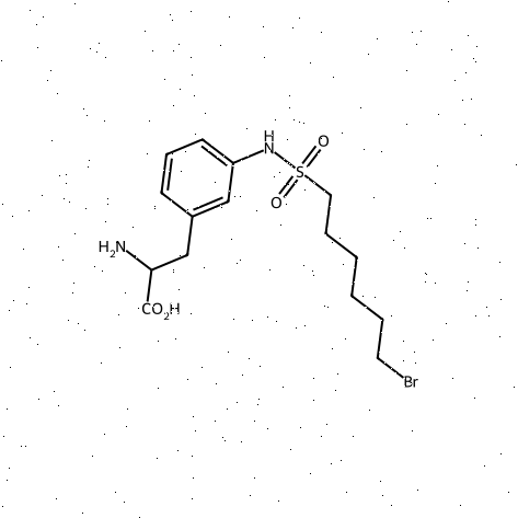 NC(Cc1cccc(NS(=O)(=O)CCCCCCBr)c1)C(=O)O